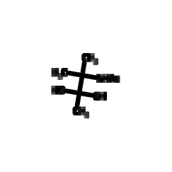 CC(=O)NC(C)(C)C(C)(O)O